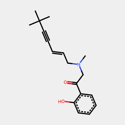 CN(CC=CC#CC(C)(C)C)CC(=O)c1ccccc1O